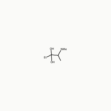 CCC(O)(O)C(C)NC